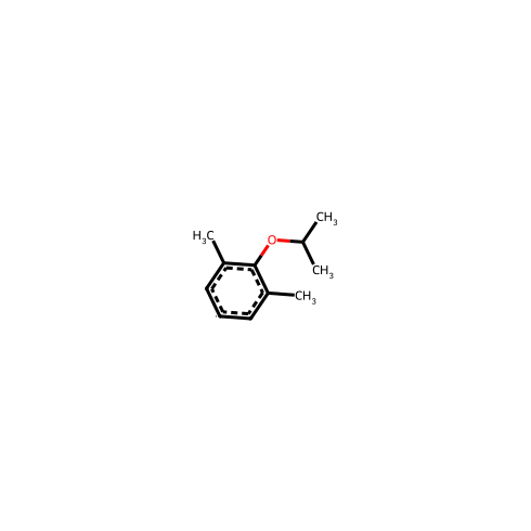 Cc1c[c]cc(C)c1OC(C)C